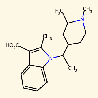 Cc1c(C(=O)O)c2ccccc2n1C(C)C1CCN(C)C(C(F)(F)F)C1